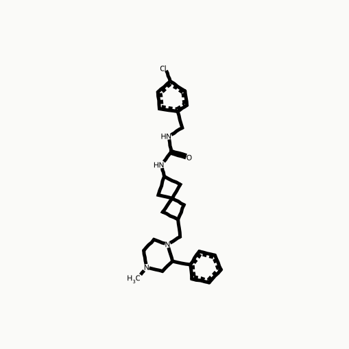 CN1CCN(CC2CC3(C2)CC(NC(=O)NCc2ccc(Cl)cc2)C3)C(c2ccccc2)C1